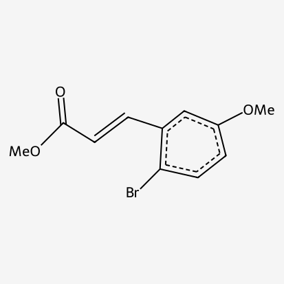 COC(=O)/C=C/c1cc(OC)ccc1Br